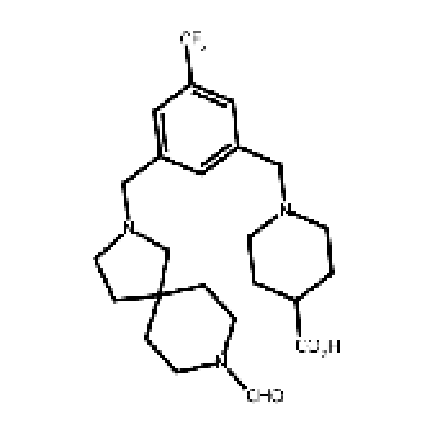 O=CN1CCC2(CC1)CCN(Cc1cc(CN3CCC(C(=O)O)CC3)cc(C(F)(F)F)c1)C2